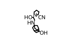 N#C[C@@H]1CCCN1C(O)CNC12CC3CC(C1)C(O)(C3)C2